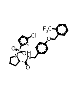 O=C(NCc1ccc(OCc2ccccc2C(F)(F)F)cc1)[C@@H]1CCCN1S(=O)(=O)c1ccc(Cl)s1